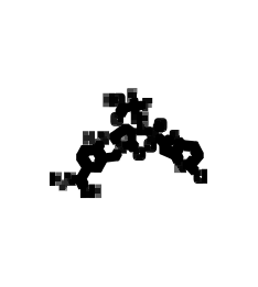 N=C(N)c1ccc(N)c(CN2CC[C@H](NS(=O)(=O)c3cc4nc(Cl)ccc4s3)C2=O)c1.O=C(O)C(F)(F)F